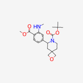 CNc1cc(C2CC3(CCN2C(=O)OC(C)(C)C)COC3)ccc1C(=O)OC